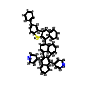 c1ccc(-c2ccc3sc4c(-c5ccc6c7c(cccc57)-c5c-6c(-c6ccncc6)c6ccccc6c5-c5ccncc5)c5ccccc5cc4c3c2)cc1